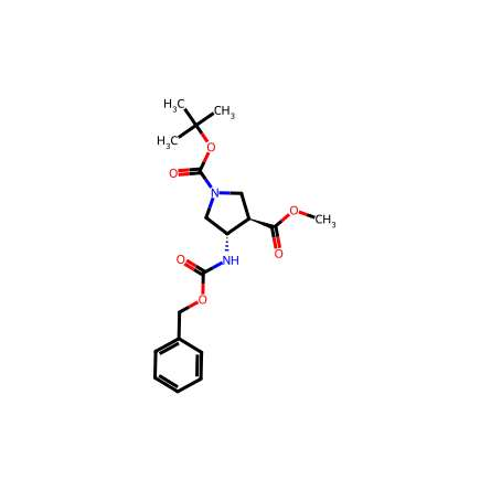 COC(=O)[C@@H]1CN(C(=O)OC(C)(C)C)C[C@H]1NC(=O)OCc1ccccc1